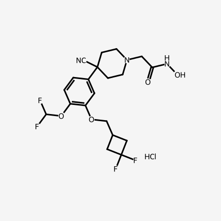 Cl.N#CC1(c2ccc(OC(F)F)c(OCC3CC(F)(F)C3)c2)CCN(CC(=O)NO)CC1